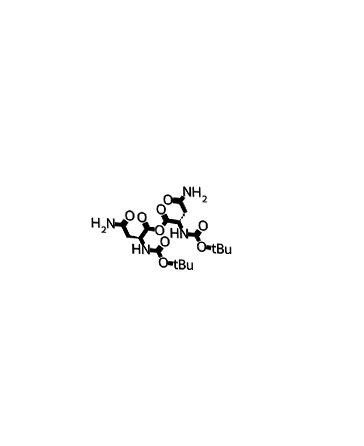 CC(C)(C)OC(=O)N[C@@H](CC(N)=O)C(=O)OC(=O)[C@H](CC(N)=O)NC(=O)OC(C)(C)C